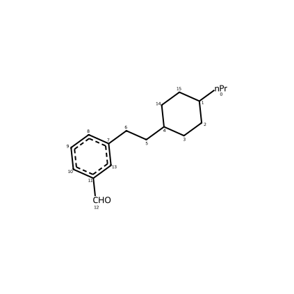 CCCC1CCC(CCc2cccc(C=O)c2)CC1